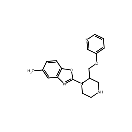 Cc1ccc2oc(N3CCNCC3COc3cccnc3)nc2c1